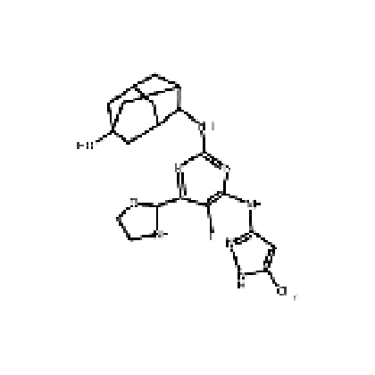 Cc1cc(Nc2nc(NC3C4CC5CC3CC(O)(C5)C4)nc(C3NCCO3)c2F)n[nH]1